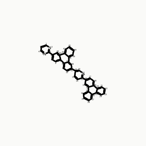 c1cnc(-c2ccc3c4ccc(-c5ccc(-c6ccc7c8ccccc8c8ccccc8c7c6)nc5)cc4c4ccccc4c3c2)nc1